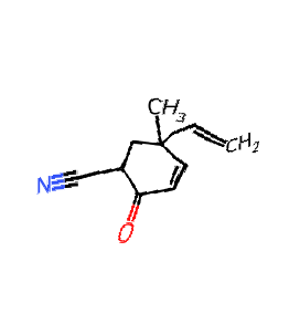 C=CC1(C)C=CC(=O)C(C#N)C1